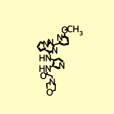 COc1cccc(-c2nc(Nc3ccncc3NC(=O)CN3CCOCC3)c3cccn3n2)n1